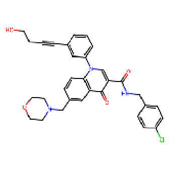 O=C(NCc1ccc(Cl)cc1)c1cn(-c2cccc(C#CCCO)c2)c2ccc(CN3CCOCC3)cc2c1=O